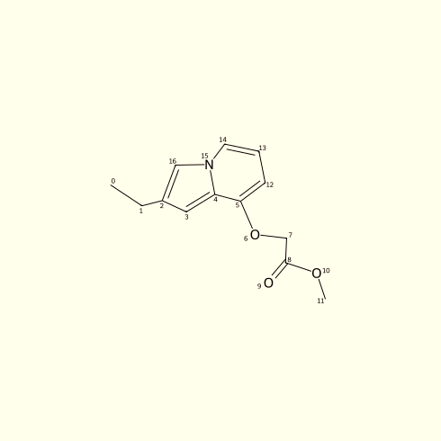 CCc1cc2c(OCC(=O)OC)cccn2c1